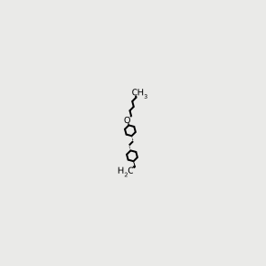 C=C[C@H]1CC[C@H](CC[C@H]2CC[C@H](OCCCCCC)CC2)CC1